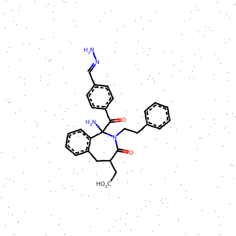 NN=Cc1ccc(C(=O)C2(N)c3ccccc3CC(CC(=O)O)C(=O)N2CCc2ccccc2)cc1